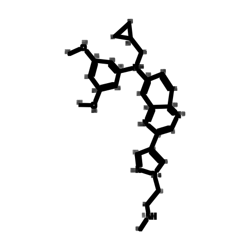 CNCCn1cc(-c2cnc3ccc(N(CC4CC4)c4cc(OC)cc(OC)c4)cc3n2)cn1